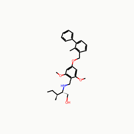 CC[C@H](C)[C@@H](CO)NCc1c(OC)cc(OCc2cccc(-c3ccccc3)c2C)cc1OC